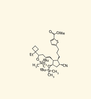 CCC1(C(CC=C[C@H]2[C@@H](CCCc3ccc(C(=O)OC)s3)[C@@H](C#N)C[C@H]2O[Si](C)(C)C(C)(C)C)O[Si](C)(C)C(C)(C)C)CCC1